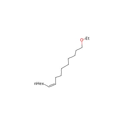 [CH2]COCCCCCCCC/C=C\CCCCCC